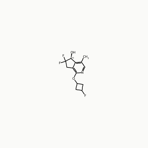 Cc1cnc(OC2CC(F)C2)c2c1[C@H](O)C(F)(F)C2